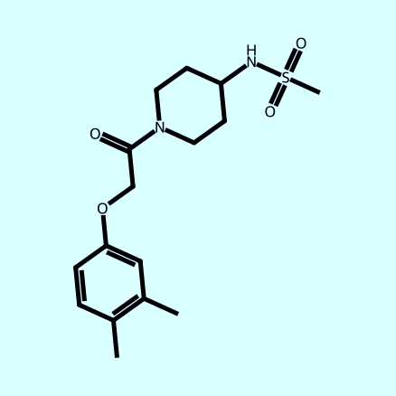 Cc1ccc(OCC(=O)N2CCC(NS(C)(=O)=O)CC2)cc1C